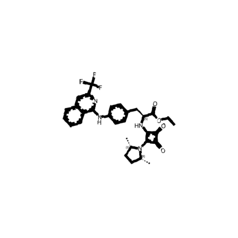 CCOC(=O)[C@H](Cc1ccc(Nc2nc(C(F)(F)F)cc3ccccc23)cc1)Nc1c(N2[C@H](C)CC[C@@H]2C)c(=O)c1=O